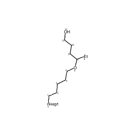 CCCCCCCCCCCCOC(CC)CCCO